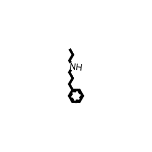 CCCNCCCc1ccccc1